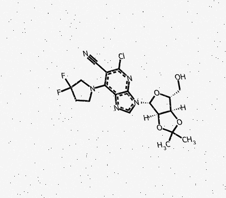 CC1(C)O[C@@H]2[C@H](O1)[C@@H](CO)O[C@H]2n1cnc2c(N3CCC(F)(F)C3)c(C#N)c(Cl)nc21